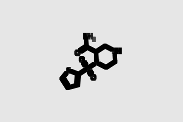 NC(=O)C1CNCCN1S(=O)(=O)c1cccs1